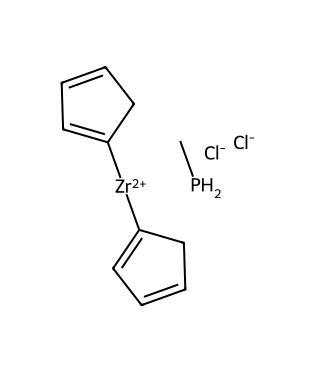 C1=CC[C]([Zr+2][C]2=CC=CC2)=C1.CP.[Cl-].[Cl-]